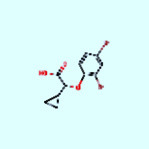 O=C(O)C(Oc1ccc(Br)cc1Br)C1CC1